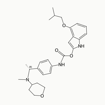 CC(C)COc1cccc2[nH]c(OC(=O)Nc3ccc([C@@H](C)N(C)C4CCOCC4)cc3)cc12